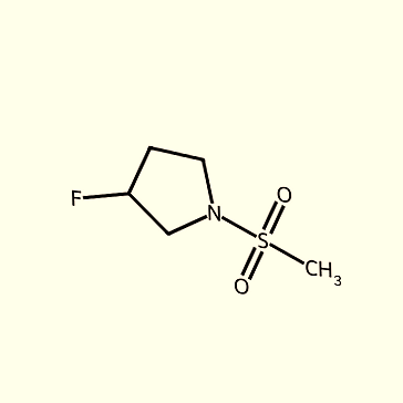 CS(=O)(=O)N1CCC(F)C1